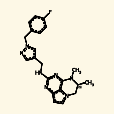 C[C@H]1Cn2ccc3nc(NCc4cnn(Cc5ccc(F)cc5)c4)nc(c32)N1C